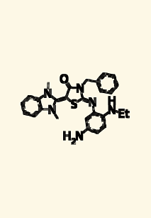 CCNc1ccc(N)cc1/N=C1\SC(=C2N(C)c3ccccc3N2C)C(=O)N1Cc1ccccc1